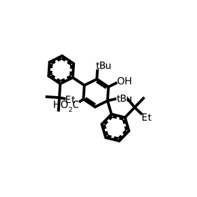 CCC(C)(C)c1ccccc1C1C(C(=O)O)=CC(c2ccccc2C(C)(C)CC)(C(C)(C)C)C(O)=C1C(C)(C)C